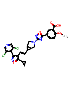 COc1ccc(-c2nc(N3CC4C(/C=C/c5c(-c6c(Cl)cncc6Cl)noc5C5CC5)C4C3)no2)cc1C(=O)O